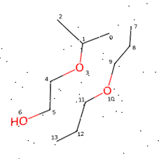 CC(C)OCCO.CCCOCCC